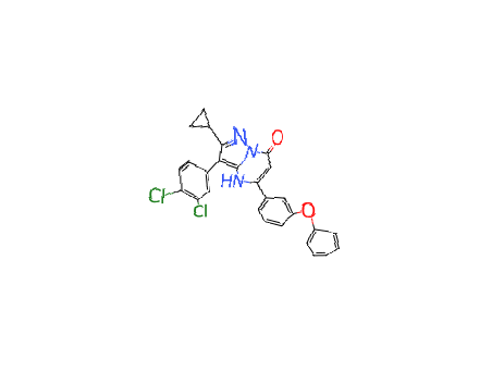 O=c1cc(-c2cccc(Oc3ccccc3)c2)[nH]c2c(-c3ccc(Cl)c(Cl)c3)c(C3CC3)nn12